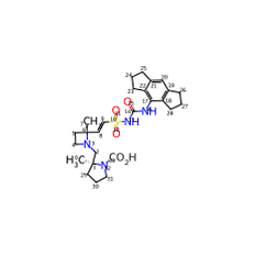 C[C@@]1(CN2CC[C@]2(C)/C=C/S(=O)(=O)NC(=O)Nc2c3c(cc4c2CCC4)CCC3)CCCN1C(=O)O